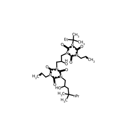 C=CCn1c(=O)n(CC(O)Cn2c(=O)n(CC=C)c(=O)n(C(C)(C)CC)c2=O)c(=O)n(CC(O)CC(C)(C)CCC)c1=O